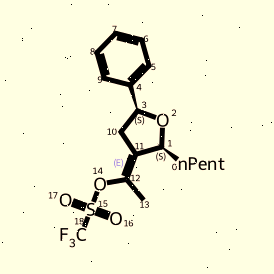 CCCCC[C@@H]1O[C@H](c2ccccc2)C/C1=C(/C)OS(=O)(=O)C(F)(F)F